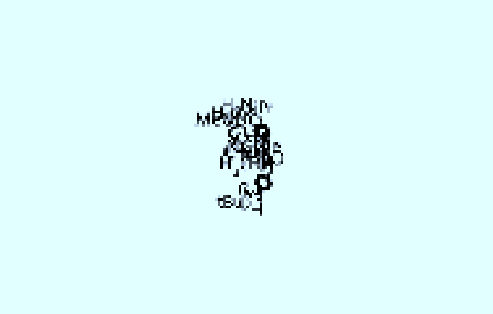 CC[C@H](C)[C@@H]([C@@H](CC(=O)N1CCC[C@H]1[C@H](OC)[C@@H](C)C(=O)N[C@@H](Cc1ccccn1)C(=O)NCc1ccc(NC(=O)OC(C)(C)C)cc1)OC)N(C)C(=O)[C@@H](N)C(C)C